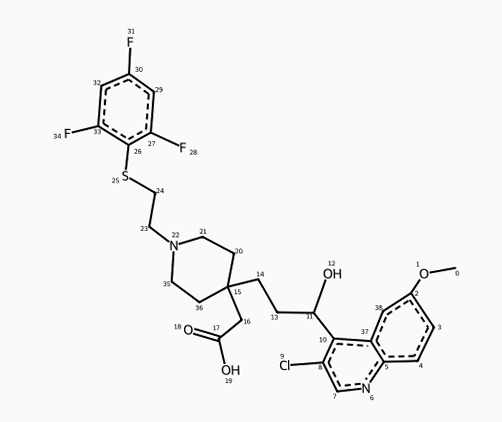 COc1ccc2ncc(Cl)c(C(O)CCC3(CC(=O)O)CCN(CCSc4c(F)cc(F)cc4F)CC3)c2c1